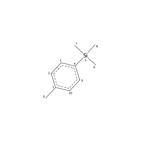 Cc1[c]cc([Si](C)(C)C)cc1